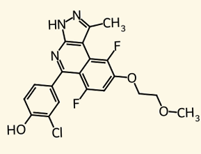 COCCOc1cc(F)c2c(-c3ccc(O)c(Cl)c3)nc3[nH]nc(C)c3c2c1F